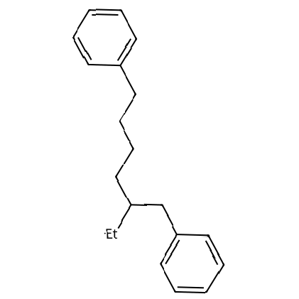 C[CH]C(CCCCc1ccccc1)Cc1ccccc1